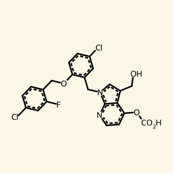 O=C(O)Oc1ccnc2c1c(CO)cn2Cc1cc(Cl)ccc1OCc1ccc(Cl)cc1F